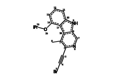 Cc1c(C#CBr)ncc2[nH]c3cccc(OC(C)C)c3c12